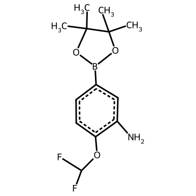 CC1(C)OB(c2ccc(OC(F)F)c(N)c2)OC1(C)C